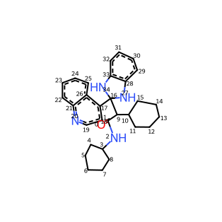 O=C(NC1CCCCC1)C(C1CCCCC1)C1(c2ccnc3ccccc23)Nc2ccccc2N1